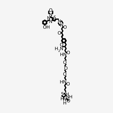 NC(=O)C(CCC(=O)NCCCOCCOCCOCCCNC(=O)CCCC[C@@H]1SC[C@@H]2NC(=O)N[C@@H]21)Cc1ccc(/C=C/C(=O)CCC(=O)N2CCN(Cc3cc4nc(-c5cccc(O)c5)nc(N5CCOCC5)c4s3)CC2)cc1